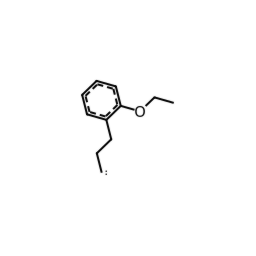 [CH]CCc1ccccc1OCC